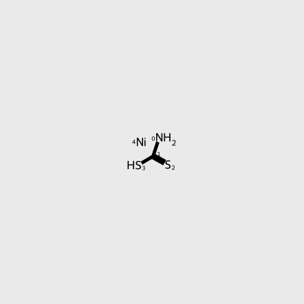 NC(=S)S.[Ni]